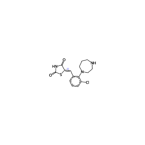 O=C1NC(=O)/C(=C/c2cccc(Cl)c2N2CCCNCC2)S1